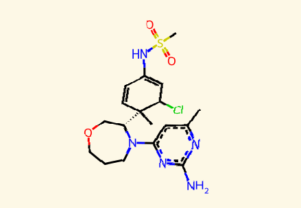 Cc1cc(N2CCCOC[C@@H]2C2(C)C=CC(NS(C)(=O)=O)=CC2Cl)nc(N)n1